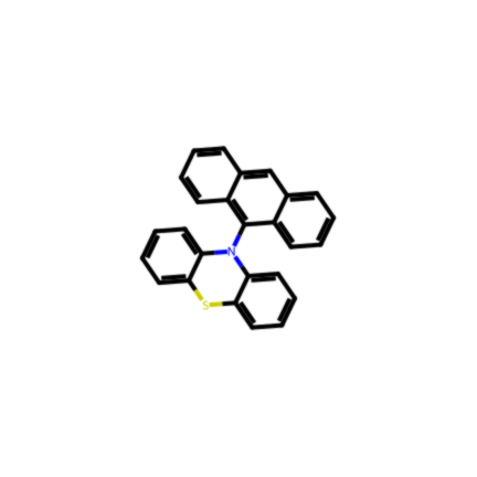 c1ccc2c(c1)Sc1ccccc1N2c1c2ccccc2cc2ccccc12